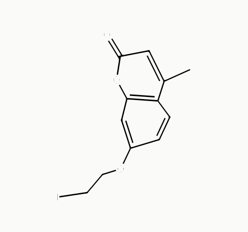 Cc1cc(=O)oc2cc(OCCI)ccc12